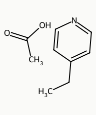 CC(=O)O.CCc1ccncc1